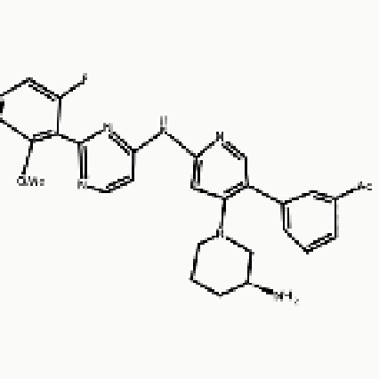 COc1cccc(F)c1-c1nccc(Nc2cc(N3CCC[C@H](N)C3)c(-c3cccc(C(C)=O)c3)cn2)n1